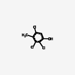 Cc1c(Cl)cc(O)c(Cl)c1Cl